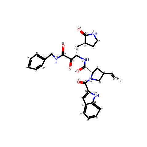 C=C[C@@H]1C[C@@H](C(=O)N[C@@H](C[C@@H]2CCNC2=O)C(=O)C(=O)NCc2ccccc2)N(C(=O)c2cc3ccccc3[nH]2)C1